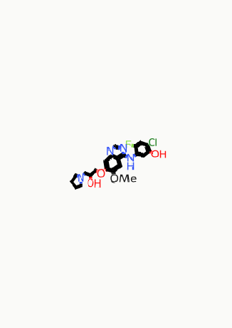 COc1cc2c(Nc3cc(O)c(Cl)cc3F)ncnc2cc1OCC(O)CN1CCCC1